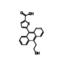 O=C(O)c1ccc(-c2c3ccccc3c(CCO)c3ccccc23)s1